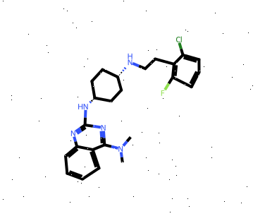 CN(C)c1nc(N[C@H]2CC[C@@H](NCCc3c(F)cccc3Cl)CC2)nc2ccccc12